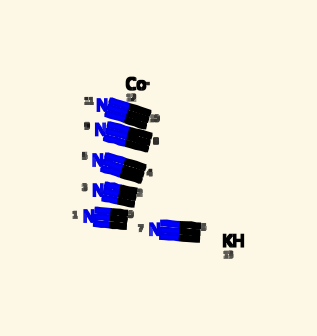 C#N.C#N.C#N.C#N.C#N.C#N.[Co].[KH]